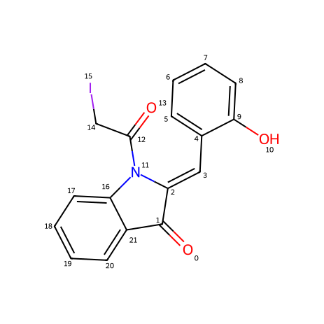 O=C1/C(=C/c2ccccc2O)N(C(=O)CI)c2ccccc21